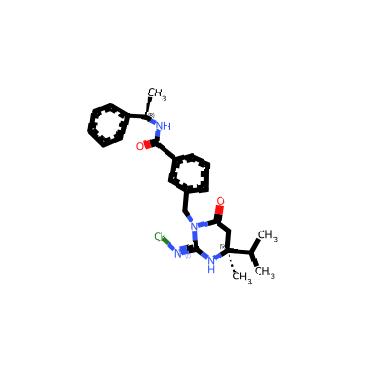 CC(C)[C@]1(C)CC(=O)N(Cc2cccc(C(=O)N[C@H](C)c3ccccc3)c2)/C(=N\Cl)N1